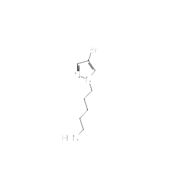 NCCCCCn1cc(Br)cn1